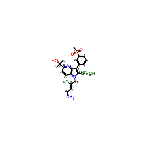 Cc1c(-c2cccc(S(C)(=O)=O)c2)c2nc(C(C)(C)O)ccc2n1C/C(F)=C/CN.Cl.Cl